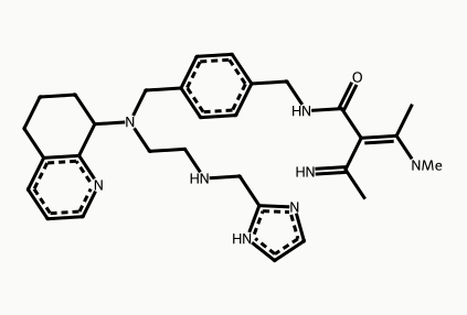 CN/C(C)=C(\C(C)=N)C(=O)NCc1ccc(CN(CCNCc2ncc[nH]2)C2CCCc3cccnc32)cc1